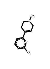 CN1CC=C(c2cccc(C(F)(F)F)n2)CC1